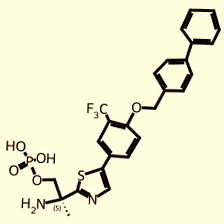 C[C@](N)(COP(=O)(O)O)c1ncc(-c2ccc(OCc3ccc(-c4ccccc4)cc3)c(C(F)(F)F)c2)s1